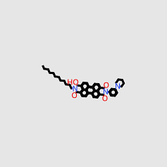 CCCCCCCCCCCCN1C(=O)c2ccc3c4ccc5c6c(ccc(c7ccc(c2c37)C1O)c64)C(=O)N(c1cccc(N2CCCCC2)c1)C5=O